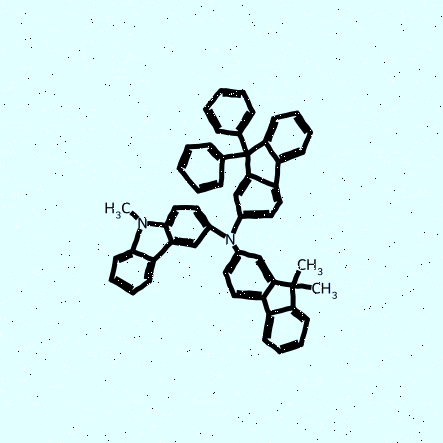 Cn1c2ccccc2c2cc(N(c3ccc4c(c3)C(C)(C)c3ccccc3-4)c3ccc4c(c3)C(c3ccccc3)(c3ccccc3)c3ccccc3-4)ccc21